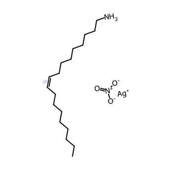 CCCCCCCC/C=C\CCCCCCCCN.O=[N+]([O-])[O-].[Ag+]